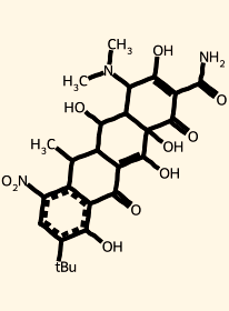 CC1c2c([N+](=O)[O-])cc(C(C)(C)C)c(O)c2C(=O)C2=C(O)C3(O)C(=O)C(C(N)=O)=C(O)C(N(C)C)C3C(O)C21